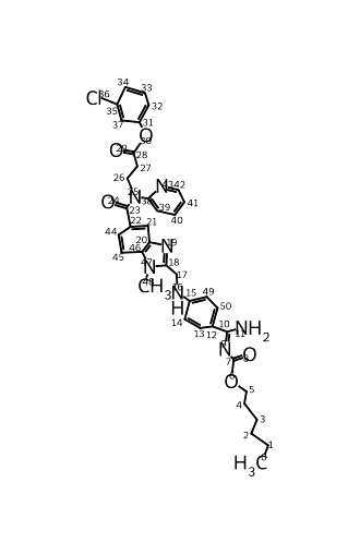 CCCCCCOC(=O)/N=C(\N)c1ccc(NCc2nc3cc(C(=O)N(CCC(=O)Oc4cccc(Cl)c4)c4ccccn4)ccc3n2C)cc1